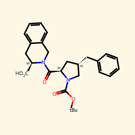 CC(C)(C)OC(=O)N1C[C@@H](Cc2ccccc2)C[C@@H]1C(=O)N1Cc2ccccc2C[C@@H]1C(=O)O